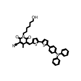 CC1=C(C#N)C(=O)N(CCCCCCO)C(=O)/C1=C\c1ccc(-c2ccc(-c3ccc(N(c4ccccc4)c4ccccc4)cc3)s2)s1